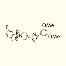 COc1cc(OC)cc(-c2csc(N3CCN(S(=O)(=O)c4cc(F)ccc4C)CC3)n2)c1